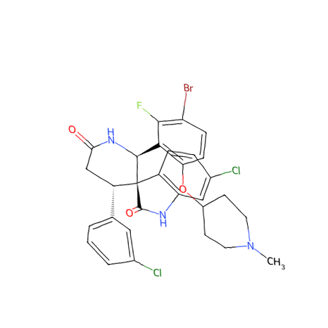 CN1CCC(Oc2ccc(Br)c(F)c2[C@@H]2NC(=O)C[C@@H](c3cccc(Cl)c3)[C@]23C(=O)Nc2cc(Cl)ccc23)CC1